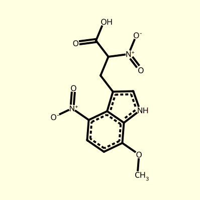 COc1ccc([N+](=O)[O-])c2c(CC(C(=O)O)[N+](=O)[O-])c[nH]c12